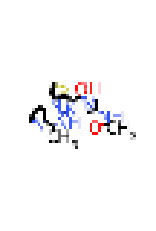 CC(=O)NC1CN(C(O)c2nc(NC(C)c3ccccn3)nc3ccsc23)C1